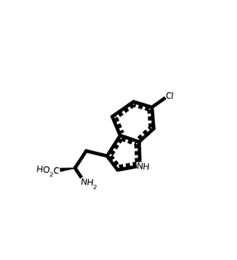 N[C@H](Cc1c[nH]c2cc(Cl)ccc12)C(=O)O